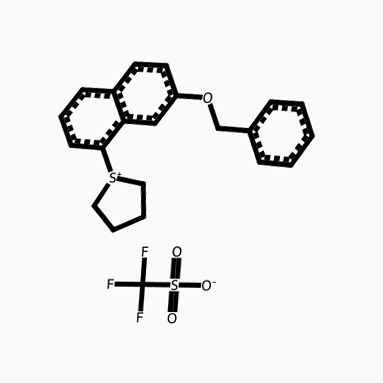 O=S(=O)([O-])C(F)(F)F.c1ccc(COc2ccc3cccc([S+]4CCCC4)c3c2)cc1